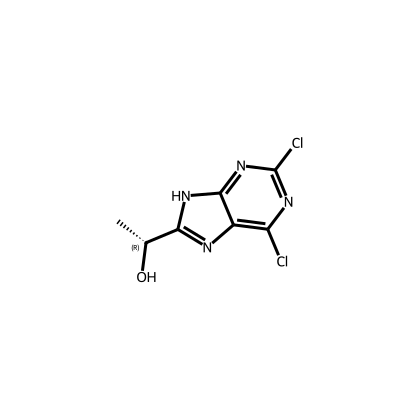 C[C@@H](O)c1nc2c(Cl)nc(Cl)nc2[nH]1